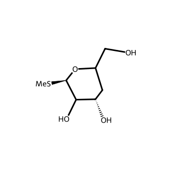 CS[C@H]1OC(CO)C[C@H](O)C1O